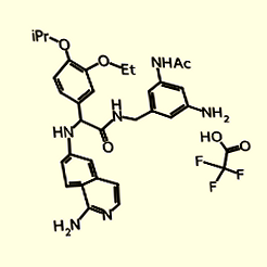 CCOc1cc(C(Nc2ccc3c(N)nccc3c2)C(=O)NCc2cc(N)cc(NC(C)=O)c2)ccc1OC(C)C.O=C(O)C(F)(F)F